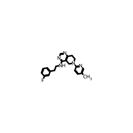 Cc1ccc(N2CCc3ncnc(NCCc4cccc(F)c4)c3C2)nc1